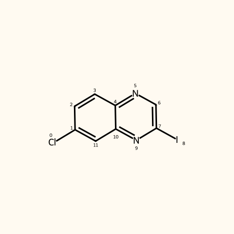 Clc1ccc2ncc(I)nc2c1